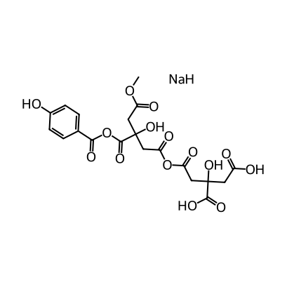 COC(=O)CC(O)(CC(=O)OC(=O)CC(O)(CC(=O)O)C(=O)O)C(=O)OC(=O)c1ccc(O)cc1.[NaH]